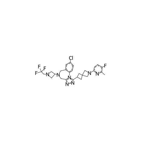 Cc1nc(N2CC3(CC(c4nnc5n4-c4ccc(Cl)cc4CN(C4CN(CC(F)(F)F)C4)C5)C3)C2)ccc1F